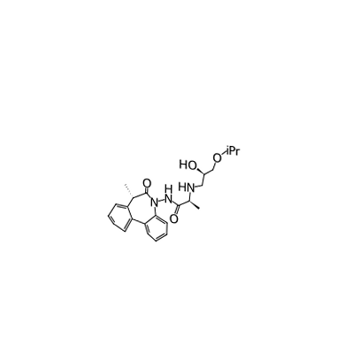 CC(C)OC[C@H](O)CN[C@@H](C)C(=O)NN1C(=O)[C@@H](C)c2ccccc2-c2ccccc21